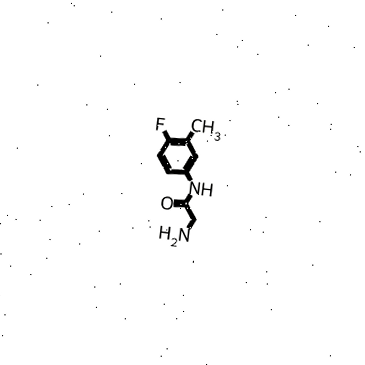 Cc1cc(NC(=O)CN)ccc1F